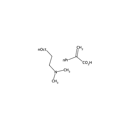 C=C(CCC)C(=O)O.CCCCCCCCCCN(C)C